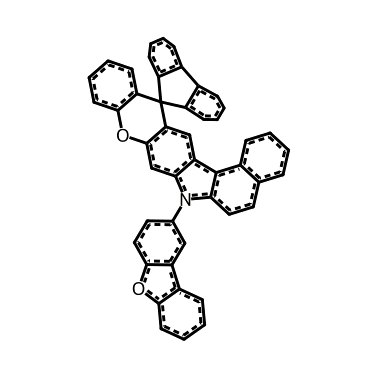 c1ccc2c(c1)Oc1cc3c(cc1C21c2ccccc2-c2ccccc21)c1c2ccccc2ccc1n3-c1ccc2oc3ccccc3c2c1